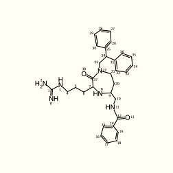 N=C(N)NCCCC1NC(CNC(=O)c2ccccc2)CCN(CC(c2ccccc2)c2ccccc2)C1=O